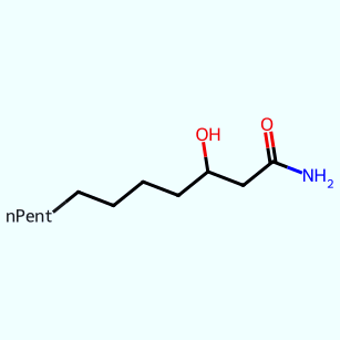 CCCCCCCCCC(O)CC(N)=O